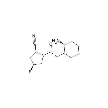 N#C[C@@H]1C[C@H](F)CN1C(=O)CC1CCCC[C@@H]1N